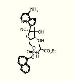 CCOC(=O)[C@H](C)NP(=O)(OC[C@H]1O[C@@](C#N)(c2ccc3c(N)ccnn23)[C@](C)(O)[C@@H]1O)Oc1cccc2ccccc12